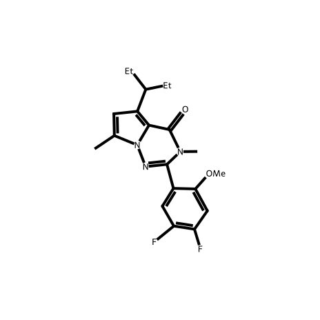 CCC(CC)c1cc(C)n2nc(-c3cc(F)c(F)cc3OC)n(C)c(=O)c12